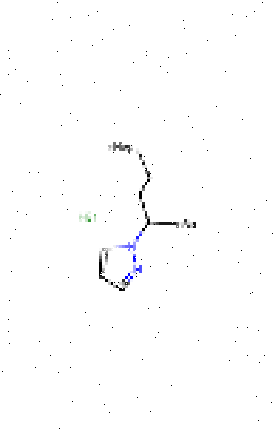 Br.CCCCCCCCCC(CCCC)n1cccn1